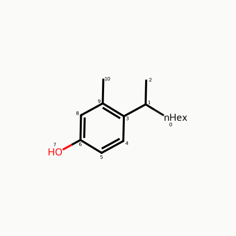 CCCCCCC(C)c1ccc(O)cc1C